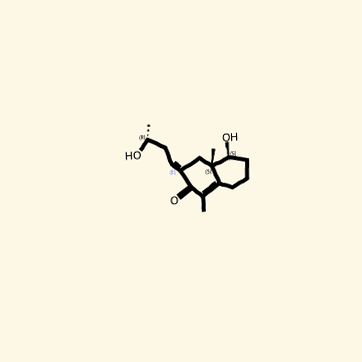 CC1=C2CCC[C@H](O)[C@@]2(C)C/C(=C\C[C@@H](C)O)C1=O